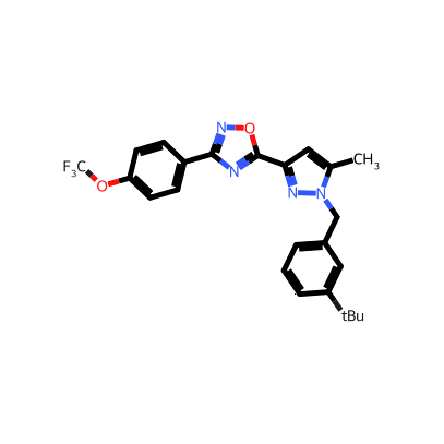 Cc1cc(-c2nc(-c3ccc(OC(F)(F)F)cc3)no2)nn1Cc1cc[c]c(C(C)(C)C)c1